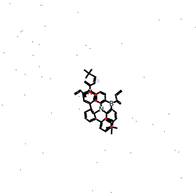 C=CC(=C)B1c2ccc(N(C(=C)C=C)C(=C)/C=C\C(C)(C)C)cc2N(c2c(-c3ccccc3)cccc2-c2ccccc2)c2cc(C(C)(C)C)ccc21